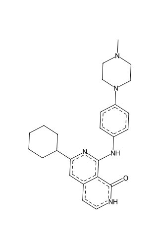 CN1CCN(c2ccc(Nc3nc(C4CCCCC4)cc4cc[nH]c(=O)c34)cc2)CC1